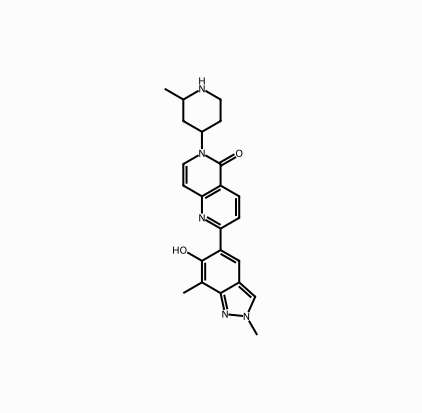 Cc1c(O)c(-c2ccc3c(=O)n(C4CCNC(C)C4)ccc3n2)cc2cn(C)nc12